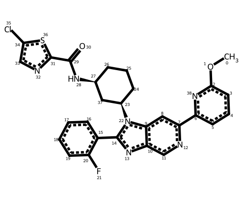 COc1cccc(-c2cc3c(cn2)nc(-c2ccccc2F)n3[C@@H]2CCC[C@H](NC(=O)c3ncc(Cl)s3)C2)n1